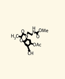 C#Cc1cc2c(cc1OC(C)=O)N(CCNC(=O)OC)C(=O)C(C)O2